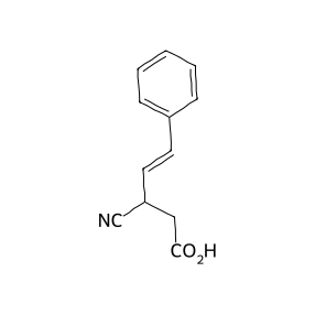 N#CC(C=Cc1ccccc1)CC(=O)O